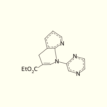 CCOC(=O)C1=CN(c2cnccn2)c2ncccc2C1